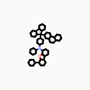 c1ccc(-c2cccc3c2oc2c(N(c4ccccc4)c4ccc(C5(c6ccc7c(ccc8ccccc87)c6)c6ccccc6-c6ccccc65)cc4)cccc23)cc1